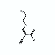 CCCON=C(C#N)C(=O)O